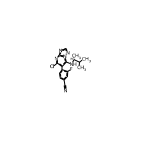 CC(C)[C@@H](C)Nc1c(-c2ccc(C#N)cc2F)c(Cl)nc2ncnn12